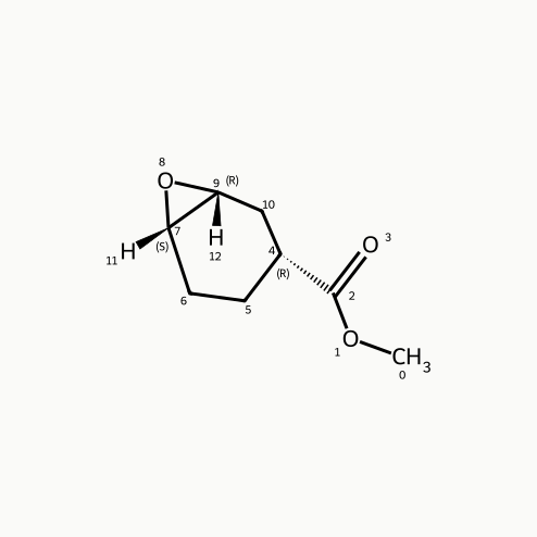 COC(=O)[C@@H]1CC[C@@H]2O[C@@H]2C1